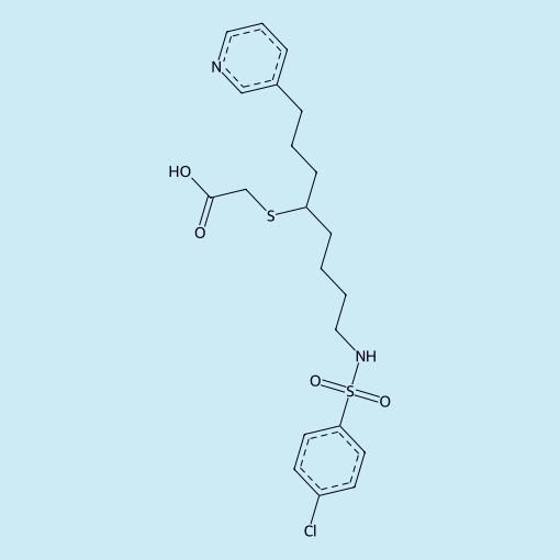 O=C(O)CSC(CCCCNS(=O)(=O)c1ccc(Cl)cc1)CCCc1cccnc1